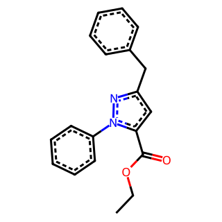 CCOC(=O)c1cc(Cc2ccccc2)nn1-c1ccccc1